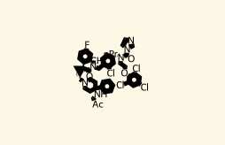 CC(=O)CNC1(c2ccccc2)CCN(C[C@@H]2C[C@@]2(C(=O)N(C)Cc2ccccc2Cl)c2ccc(F)cc2)CC1.CCCN(CCOc1c(Cl)cc(Cl)cc1Cl)C(=O)n1ccnc1